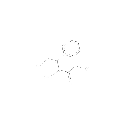 CC(C)(C)OC(=O)C(C(=O)O)C(CN)c1ccccc1